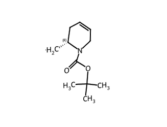 [CH2][C@@H]1CC=CCN1C(=O)OC(C)(C)C